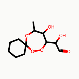 CC1OC2(CCCCC2)OOC(C(O)C=O)C1O